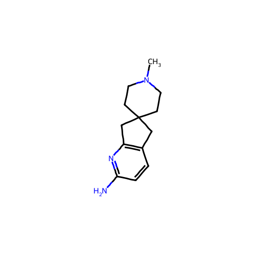 CN1CCC2(CC1)Cc1ccc(N)nc1C2